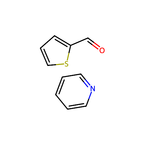 O=Cc1cccs1.c1ccncc1